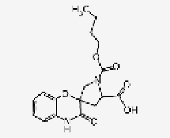 CCCCOC(=O)N1CC2(CC1C(=O)O)Oc1ccccc1NC2=O